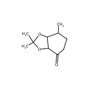 CC1CCC(=O)C2OC(C)(C)OC12